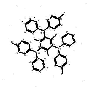 Cc1ccc(N(c2ccccc2)c2c(C)c(N(c3ccccc3)c3ccc(C)cc3)c(C)c(N(c3ccccc3)c3ccc(C)cc3)c2C)cc1